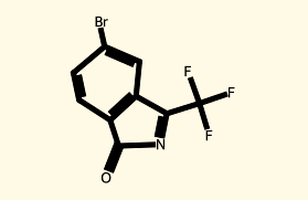 O=C1N=C(C(F)(F)F)c2cc(Br)ccc21